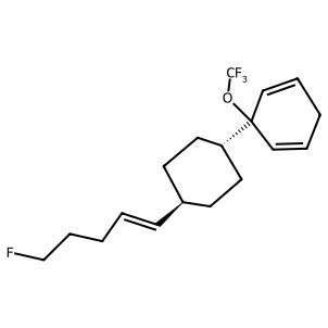 FCCC/C=C/[C@H]1CC[C@H](C2(OC(F)(F)F)C=CCC=C2)CC1